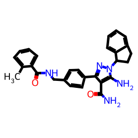 Cc1ccccc1C(=O)NCc1ccc(-c2nn(C3CCc4ccccc43)c(N)c2C(N)=O)cc1